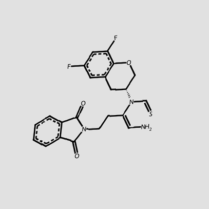 N/C=C(/CCN1C(=O)c2ccccc2C1=O)N(C=S)[C@H]1COc2c(F)cc(F)cc2C1